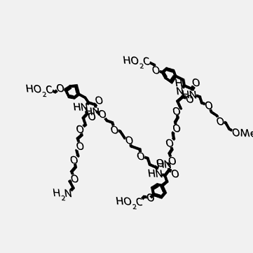 COCCOCCOCCNC(=O)C(Cc1ccc(OCC(=O)O)cc1)NC(=O)CCOCCOCCOCCONC(=O)C(Cc1ccc(OCC(=O)O)cc1)NC(=O)CCOCCOCCOCCONC(=O)C(Cc1ccc(OCC(=O)O)cc1)NC(=O)CCOCCOCCOCCOCCN